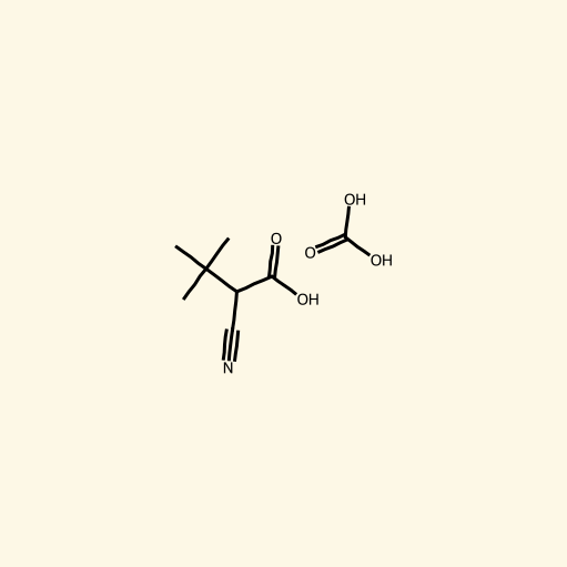 CC(C)(C)C(C#N)C(=O)O.O=C(O)O